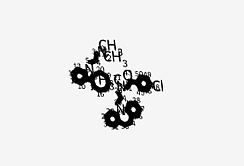 CN(C)CCCn1c2c(c3ccccc31)CCCCCC2.CN(CCCN1c2ccccc2CCc2ccccc21)CC(=O)c1ccc(Cl)cc1